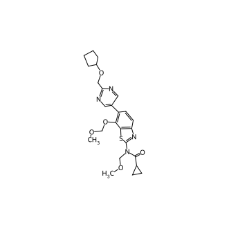 COCOc1c(-c2cnc(COC3CCCC3)nc2)ccc2nc(N(COC)C(=O)C3CC3)sc12